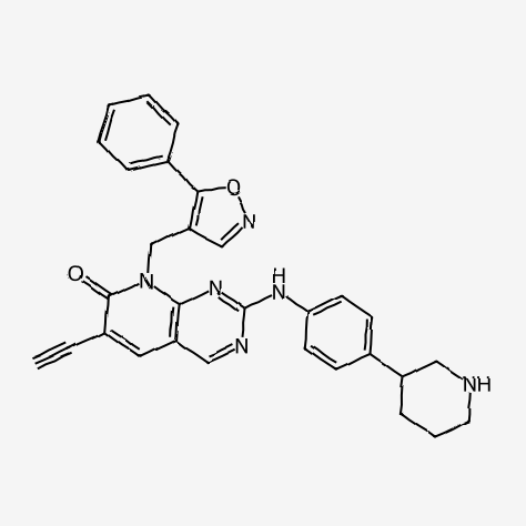 C#Cc1cc2cnc(Nc3ccc(C4CCCNC4)cc3)nc2n(Cc2cnoc2-c2ccccc2)c1=O